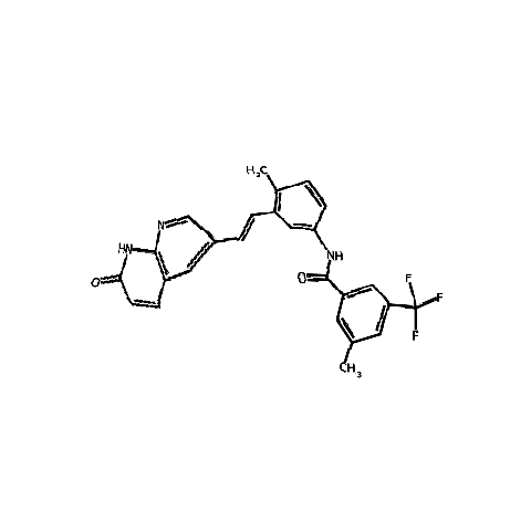 Cc1cc(C(=O)Nc2ccc(C)c(/C=C/c3cnc4[nH]c(=O)ccc4c3)c2)cc(C(F)(F)F)c1